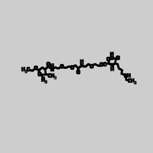 CCNCCCCC(NC(=O)COCCOCCNC(=O)COCCOCCNC(=O)C(CC(=O)OCC)C(C)C)C(=O)O